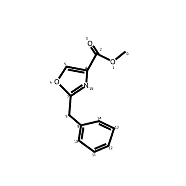 COC(=O)c1coc(Cc2ccccc2)n1